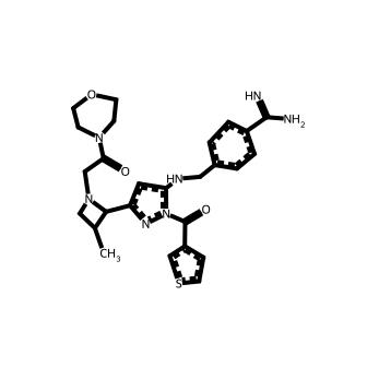 CC1CN(CC(=O)N2CCOCC2)C1c1cc(NCc2ccc(C(=N)N)cc2)n(C(=O)c2ccsc2)n1